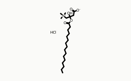 CCCCCCCCCCCCCCCC(=O)OC(O)(CC(=O)[O-])C[N+](C)(C)C.Cl